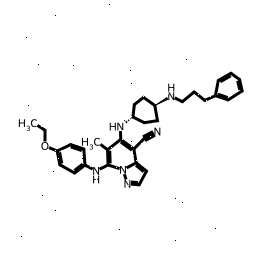 CCOc1ccc(Nc2c(C)c(N[C@H]3CC[C@H](NCCCc4ccccc4)CC3)c(C#N)c3ccnn23)cc1